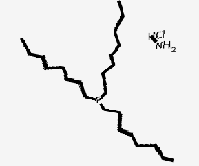 CCCCCCCCP(CCCCCCCC)CCCCCCCC.CN.Cl